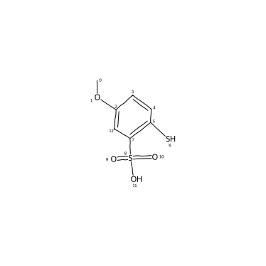 COc1ccc(S)c(S(=O)(=O)O)c1